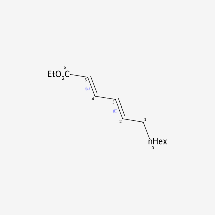 CCCCCCC/C=C/C=C/C(=O)OCC